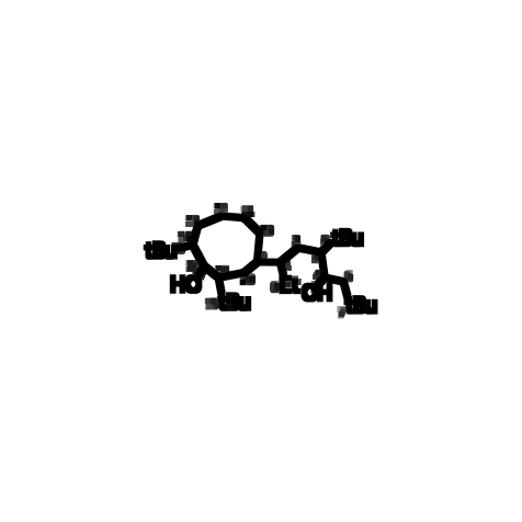 CCC(CC(C(O)CC(C)(C)C)C(C)(C)C)C1CCCCC(C(C)(C)C)C(O)C(C(C)(C)C)C1